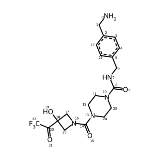 NCc1ccc(CNC(=O)N2CCN(C(=O)N3CC(O)(C(=O)C(F)(F)F)C3)CC2)cc1